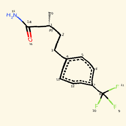 C[C@H](CCc1ccc(C(F)(F)F)cc1)C(N)=O